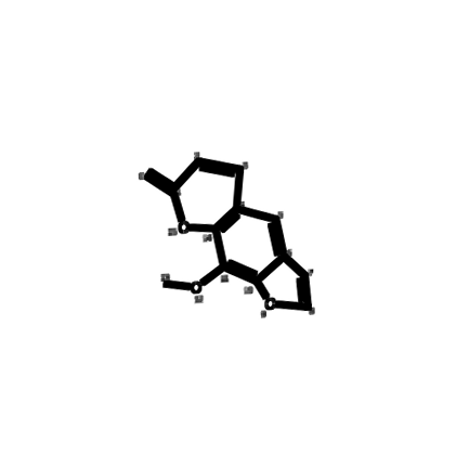 C=C1C=Cc2cc3ccoc3c(OC)c2O1